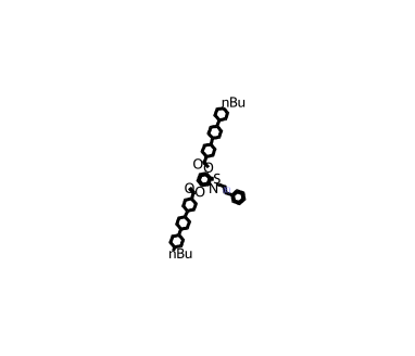 CCCCC1CCC(C2CCC(C3CCC(C(=O)Oc4ccc(OC(=O)C5CCC(C6CCC(C7CCC(CCCC)CC7)CC6)CC5)c5sc(/C=C/c6ccccc6)nc45)CC3)CC2)CC1